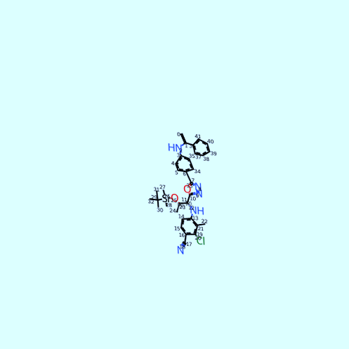 C=C(Nc1ccc(-c2nnc([C@H](Nc3ccc(C#N)c(Cl)c3C)[C@@H](C)O[Si](C)(C)C(C)(C)C)o2)cc1)c1ccccc1